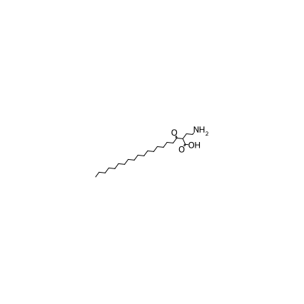 CCCCCCCCCCCCCCCCCC(=O)C(CCN)C(=O)O